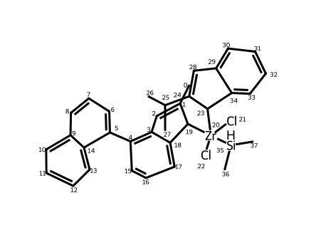 CC1=Cc2c(-c3cccc4ccccc34)cccc2[CH]1[Zr]([Cl])([Cl])([CH]1C(C(C)C)=Cc2ccccc21)[SiH](C)C